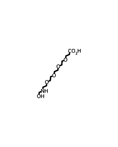 O=C(O)CCOCCOCCOCCOCCNCO